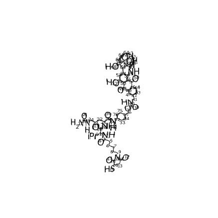 CC(C)[C@H](NC(=O)CCCCCN1C(=O)CC(S)C1=O)C(=O)N[C@@H](CCCNC(N)=O)C(=O)Nc1ccc(COC(=O)NCc2ccc3c(c2)C(=O)c2c(O)cc4c(c2C3=O)N[C@H]2C#C/C=C\C#C[C@@H](O)C4[C@]2(O)[C@@H](C)O)cc1